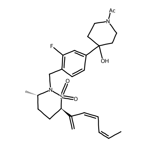 C=C(/C=C\C=C/C)[C@H]1CC[C@H](C)N(Cc2ccc(C3(O)CCN(C(C)=O)CC3)cc2F)S1(=O)=O